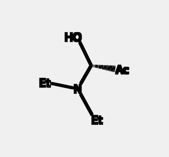 CCN(CC)[C@H](O)C(C)=O